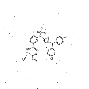 CC[C@H](NC(=O)c1ccc(F)c(N(C2CN(C(c3ccc(Cl)cc3)c3ccc(Cl)cc3)C2)S(C)(=O)=O)c1)C(N)=O